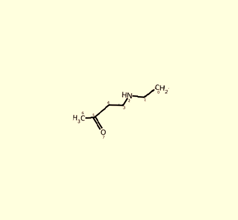 [CH2]CNCCC(C)=O